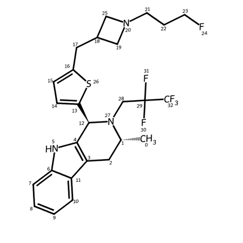 C[C@@H]1Cc2c([nH]c3ccccc23)[C@@H](c2ccc(CC3CN(CCCF)C3)s2)N1CC(F)(F)C(F)(F)F